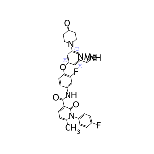 CN\C=C(/C=C(\C=C\C=N)Oc1ccc(NC(=O)c2ccc(C)n(-c3ccc(F)cc3)c2=O)cc1F)N1CCC(=O)CC1